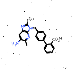 CCCCc1nc2cc(N)c(C)nc2n1Cc1ccc(-c2ccccc2C(=O)O)cc1